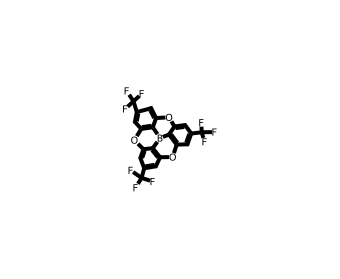 FC(F)(F)c1cc2c3c(c1)Oc1cc(C(F)(F)F)cc4c1B3c1c(cc(C(F)(F)F)cc1O4)O2